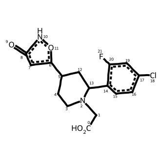 O=C(O)CN1CCC(c2cc(=O)[nH]o2)CC1c1ccc(Cl)cc1F